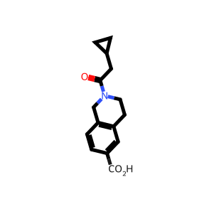 O=C(O)c1ccc2c(c1)CCN(C(=O)CC1CC1)C2